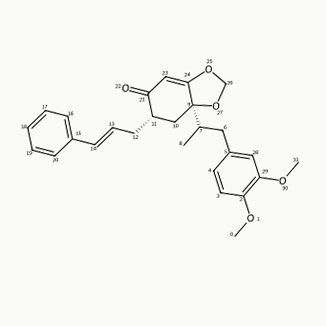 COc1ccc(CC(C)[C@]23C[C@H](CC=Cc4ccccc4)C(=O)C=C2OCO3)cc1OC